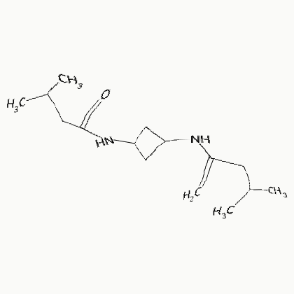 C=C(CC(C)C)NC1CC(NC(=O)CC(C)C)C1